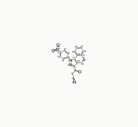 N#CCC(=O)c1nn(-c2ccc([N+](=O)[O-])cc2)c2c1CSc1ccccc1-2